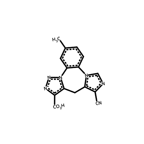 Cc1ccc2c(c1)-n1nnc(C(=O)O)c1Cc1c(C#N)ncn1-2